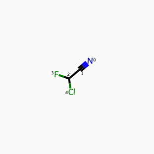 N#CC(F)Cl